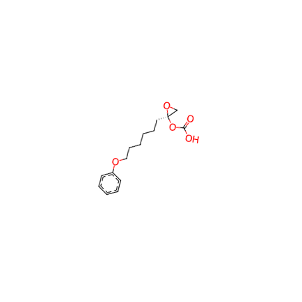 O=C(O)O[C@]1(CCCCCCOc2ccccc2)CO1